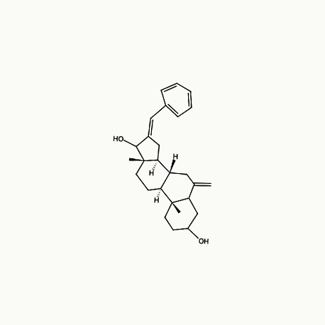 C=C1C[C@@H]2[C@H](CC[C@]3(C)C(O)C(=Cc4ccccc4)C[C@@H]23)[C@@]2(C)CCC(O)CC12